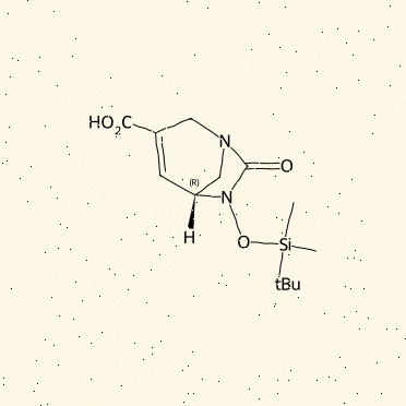 CC(C)(C)[Si](C)(C)ON1C(=O)N2CC(C(=O)O)=C[C@@H]1C2